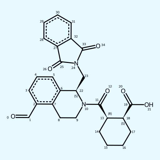 O=Cc1cccc2c1CCN(C(=O)[C@@H]1CCCC[C@@H]1C(=O)O)[C@@H]2CN1C(=O)c2ccccc2C1=O